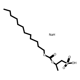 CCCCCCCCCCCCOC(=O)OC(C)CS(=O)(=O)O.[NaH]